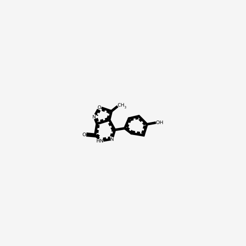 Cc1onc2c(=O)[nH]nc(-c3ccc(O)cc3)c12